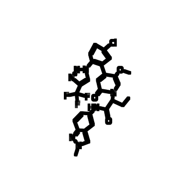 CCC(C(=O)Nc1ccc2nn(C)cc2c1)n1cc(OC)c(-c2cc(Cl)ccc2-n2cc(C(F)(F)F)nn2)cc1=O